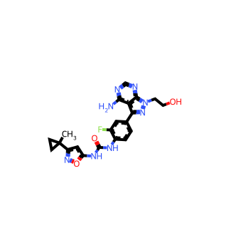 CC1(c2cc(NC(=O)Nc3ccc(-c4nn(CCO)c5ncnc(N)c45)cc3F)on2)CC1